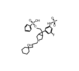 CCC1(c2cc(F)cc(NS(C)(=O)=O)c2)C2CN(CCCC3(O)CCCCC3)CC21.O=S(=O)(O)c1ccccc1